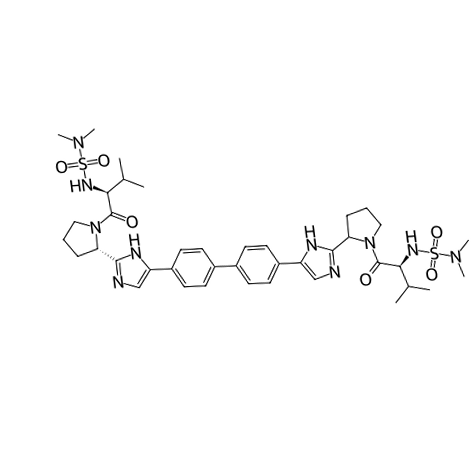 CC(C)[C@H](NS(=O)(=O)N(C)C)C(=O)N1CCCC1c1ncc(-c2ccc(-c3ccc(-c4cnc([C@@H]5CCCN5C(=O)[C@@H](NS(=O)(=O)N(C)C)C(C)C)[nH]4)cc3)cc2)[nH]1